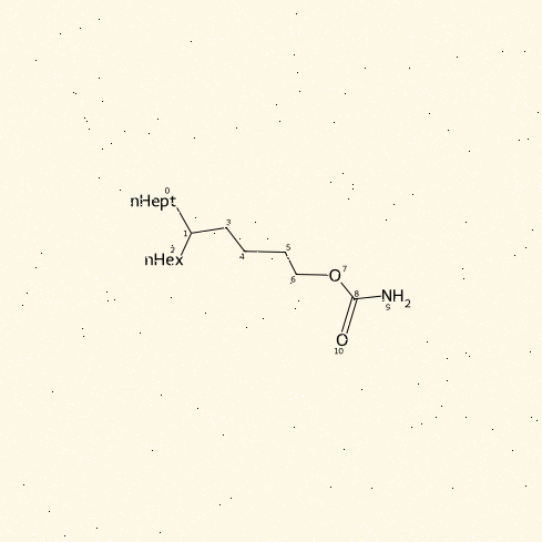 CCCCCCCC(CCCCCC)CCCCOC(N)=O